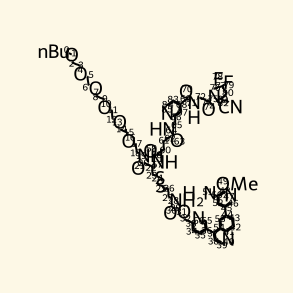 CCCCOCCOCCOCCOCCOCCOCCNC(=O)C(CSSCCNC(=O)OCc1ccc(-c2ccnc3ccc(-c4cnc(OC)c(N)c4)cc23)cn1)NC(=O)CCC(=O)NCc1cc(C(=O)NCC(=O)N2CC(F)(F)C[C@H]2C#N)ccn1